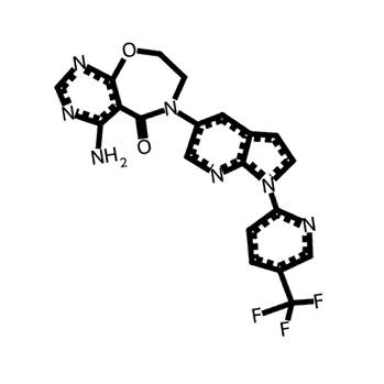 Nc1ncnc2c1C(=O)N(c1cnc3c(ccn3-c3ccc(C(F)(F)F)cn3)c1)CCO2